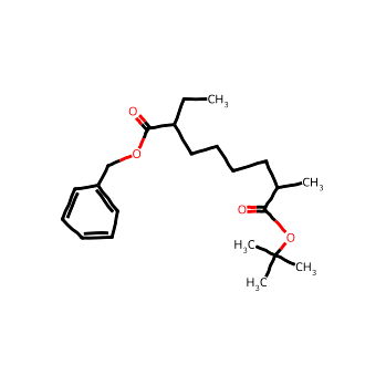 CCC(CCCCC(C)C(=O)OC(C)(C)C)C(=O)OCc1ccccc1